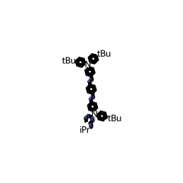 C\C=C/C(=C\C=C\C(C)C)N(c1ccc(/C=C/c2ccc(/C=C/c3ccc(N(c4ccc(C(C)(C)C)cc4)c4ccc(C(C)(C)C)cc4)cc3)cc2)cc1)c1ccc(C(C)(C)C)cc1